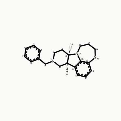 c1ccc(CN2CC[C@@H]3[C@H](C2)c2cccc4c2N3CCCS4)cc1